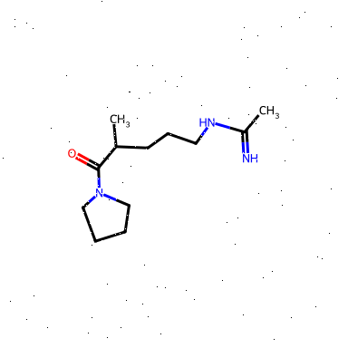 CC(=N)NCCCC(C)C(=O)N1CCCC1